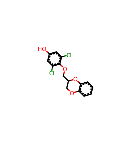 Oc1cc(Cl)c(OCC2COc3ccccc3O2)c(Cl)c1